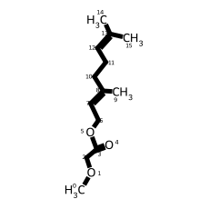 COCC(=O)OC/C=C(\C)CCC=C(C)C